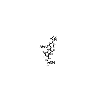 COc1cc(-n2cccn2)ccc1-c1nc2c(C)cn(CC[C@H](C)O)c2nc1C